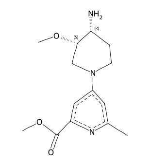 COC(=O)c1cc(N2CC[C@@H](N)[C@@H](OC)C2)cc(C)n1